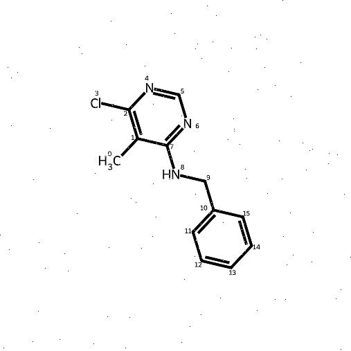 Cc1c(Cl)ncnc1NCc1ccccc1